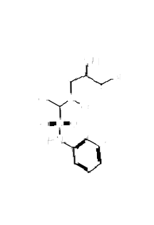 CC(CBr)C[S+]([O-])C(Cl)S(=O)(=O)Nc1ccccc1